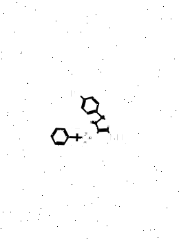 [2H]C1(c2ccc(Br)cc2)OC(N)=C(OS(=O)(=O)C([2H])([2H])c2ccccc2)C1=O